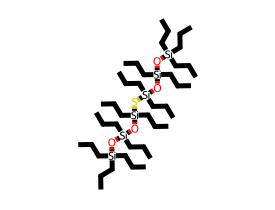 CCC[Si](CCC)(CCC)O[Si](CCC)(CCC)O[Si](CCC)(CCC)S[Si](CCC)(CCC)O[Si](CCC)(CCC)O[Si](CCC)(CCC)CCC